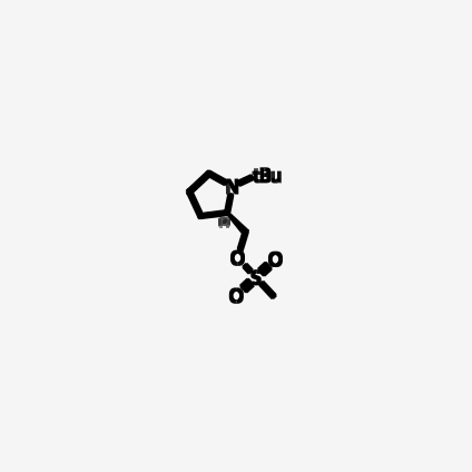 CC(C)(C)N1CCC[C@@H]1COS(C)(=O)=O